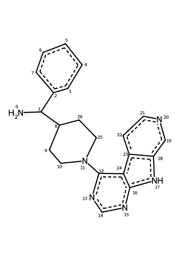 NC(c1ccccc1)C1CCN(c2ncnc3[nH]c4cnccc4c23)CC1